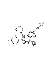 COC(=O)c1sc(C#CC(C)(C)C)cc1N(C(=O)C1CCC(C)CC1)C1CC=CCC1